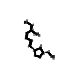 CC(=O)\N=C(N)/C=C\C=C\[C@H]1CC[C@@H](CO)O1